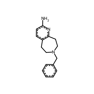 Nc1ccc2c(n1)CCN(Cc1ccccc1)CC2